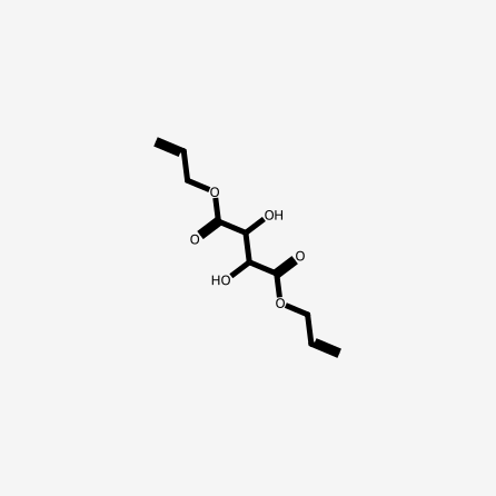 C=CCOC(=O)C(O)C(O)C(=O)OCC=C